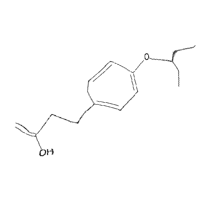 C=C(O)CCc1ccc(OC(C)C)cc1